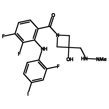 CNNCC1(O)CN(C(=O)c2ccc(F)c(F)c2Nc2ccc(I)cc2F)C1